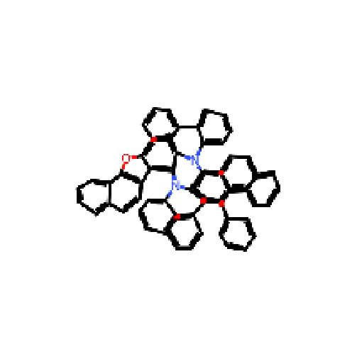 c1ccc(-c2ccc(N(c3ccccc3)c3c(N(c4ccccc4-c4ccccc4)c4ccc(-c5ccccc5)c5ccccc45)ccc4oc5c6ccccc6ccc5c34)c(-c3ccccc3)c2)cc1